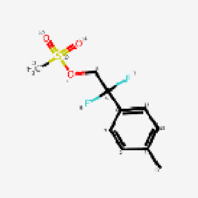 Cc1ccc(C(F)(F)COS(=O)(=O)C(F)(F)F)cc1